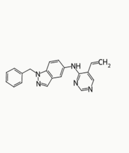 C=Cc1cncnc1Nc1ccc2c(cnn2Cc2ccccc2)c1